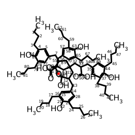 CCCCc1cc(CC(CC(CC(Cc2cc(CCCC)c(O)c(CCCC)c2)C(=O)O)(CC(Cc2cc(CCCC)c(O)c(CCCC)c2)C(=O)O)CC(Cc2cc(CCCC)c(O)c(CCCC)c2)C(=O)O)C(=O)O)cc(CCCC)c1O